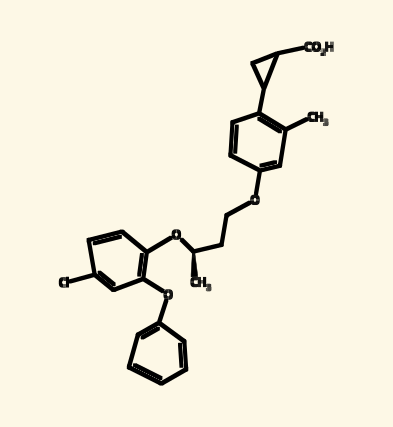 Cc1cc(OCC[C@@H](C)Oc2ccc(Cl)cc2Oc2ccccc2)ccc1C1CC1C(=O)O